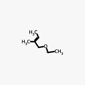 C[CH]OCC(C)=CC